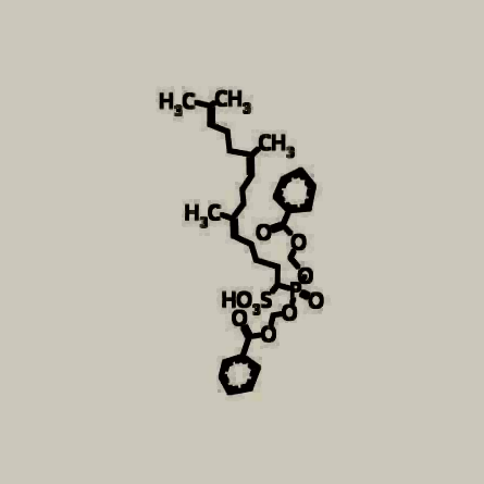 CC(C)=CCCC(C)=CCCC(C)=CCCCC(P(=O)(OCOC(=O)c1ccccc1)OCOC(=O)c1ccccc1)S(=O)(=O)O